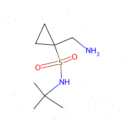 CC(C)(C)NS(=O)(=O)C1(CN)CC1